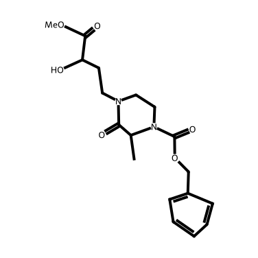 COC(=O)C(O)CCN1CCN(C(=O)OCc2ccccc2)C(C)C1=O